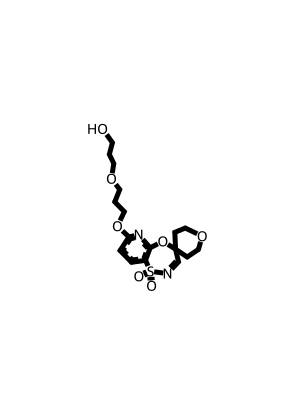 O=S1(=O)N=CC2(CCOCC2)Oc2nc(OCCCOCCCO)ccc21